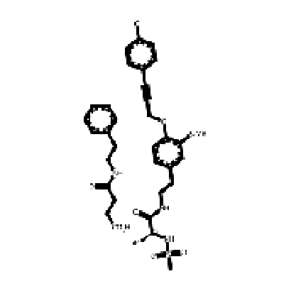 COc1cc(CCNC(=O)[C@@H](NS(C)(=O)=O)C(C)C)ccc1OCC#Cc1ccc(Cl)cc1.O=C(O)CCC(=O)NCCc1ccccc1